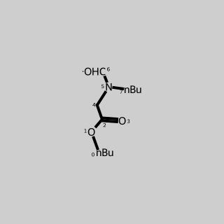 CCCCOC(=O)CN([C]=O)CCCC